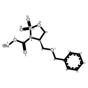 CC(C)(C)OC(=O)N1[C@H](COCc2ccccc2)COS1(=O)=O